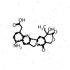 CCC1(O)C(=O)OCc2c1cc1n(c2=O)Cc2cc3c(N)ccc(CC(=O)O)c3nc2-1